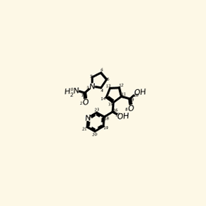 NC(=O)N1CCCC1.O=C(O)C1CCC=C1C(O)c1cccnc1